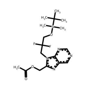 CC(=O)OCc1nc2cncnc2n1CC(F)(F)CO[Si](C)(C)C(C)(C)C